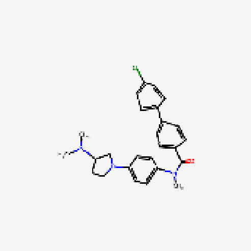 CN(C(=O)c1ccc(-c2ccc(Cl)cc2)cc1)c1ccc(N2CCC(N(C)C)C2)cc1